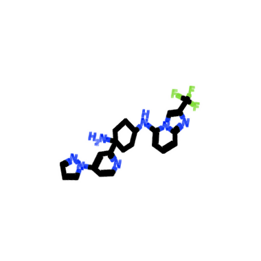 NC1(c2cc(-n3cccn3)ccn2)CCC(Nc2cccc3nc(C(F)(F)F)cn23)CC1